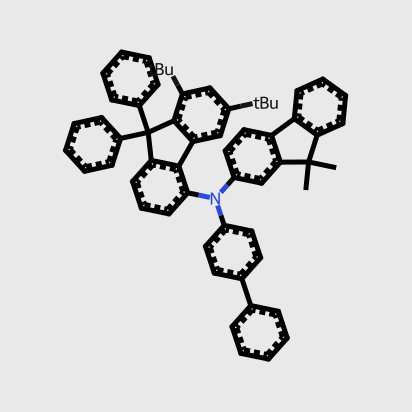 CC(C)(C)c1cc2c(c(C(C)(C)C)c1)C(c1ccccc1)(c1ccccc1)c1cccc(N(c3ccc(-c4ccccc4)cc3)c3ccc4c(c3)C(C)(C)c3ccccc3-4)c1-2